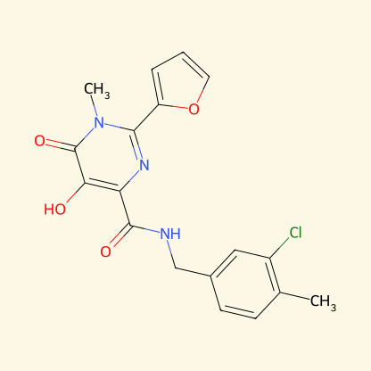 Cc1ccc(CNC(=O)c2nc(-c3ccco3)n(C)c(=O)c2O)cc1Cl